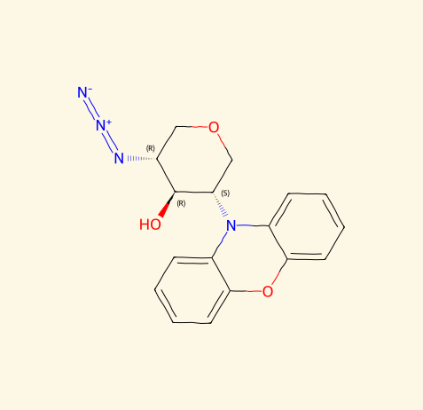 [N-]=[N+]=N[C@@H]1COC[C@H](N2c3ccccc3Oc3ccccc32)[C@H]1O